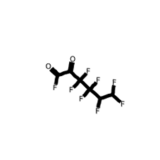 O=C(F)C(=O)C(F)(F)C(F)(F)C(F)C(F)F